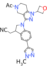 CC(=O)N1CCc2c(c(N3CC(CC#N)c4cc(-c5cnn(C)c5)ccc43)nn2C2COC2)C1